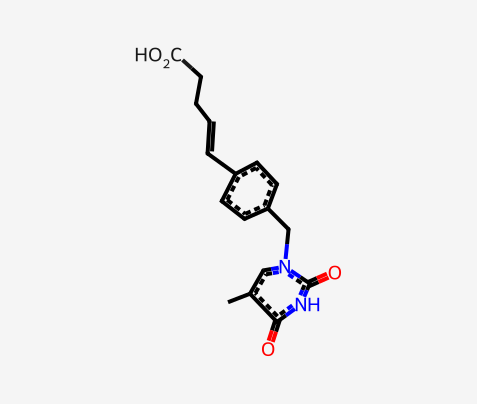 Cc1cn(Cc2ccc(/C=C/CCC(=O)O)cc2)c(=O)[nH]c1=O